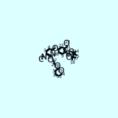 [C-]#[N+]c1ccc(Oc2ccc(B3OC(C)(C)C(C)(C)O3)c(C=O)c2)nc1OCCOC1CCCCO1